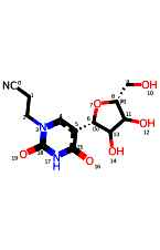 N#CCCn1cc([C@@H]2O[C@H](CO)C(O)C2O)c(=O)[nH]c1=O